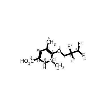 CC1=C(OCC(F)(F)C(F)F)N(C)NC(C(=O)O)=C1